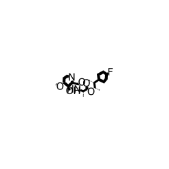 COc1ccnc(C(=O)N[C@@H](C)C(=O)O[C@@H](C)[C@H](C)c2ccc(F)cc2)c1O